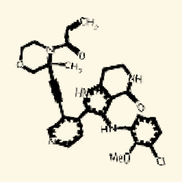 C=CC(=O)N1CCOC[C@@]1(C)C#Cc1cnccc1-c1[nH]c2c(c1Nc1cccc(Cl)c1OC)C(=O)NCC2